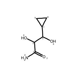 NC(=O)C(O)C(O)C1CC1